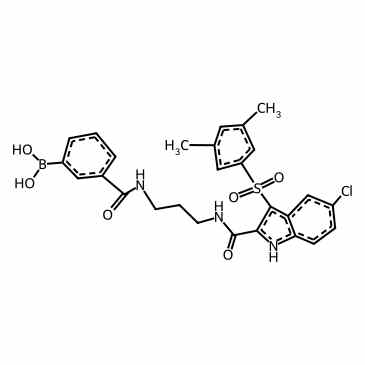 Cc1cc(C)cc(S(=O)(=O)c2c(C(=O)NCCCNC(=O)c3cccc(B(O)O)c3)[nH]c3ccc(Cl)cc23)c1